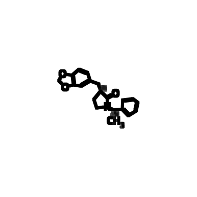 C[C@@H](c1ccccc1)N1CC[C@@H](Cc2ccc3c(c2)OCO3)C1=O